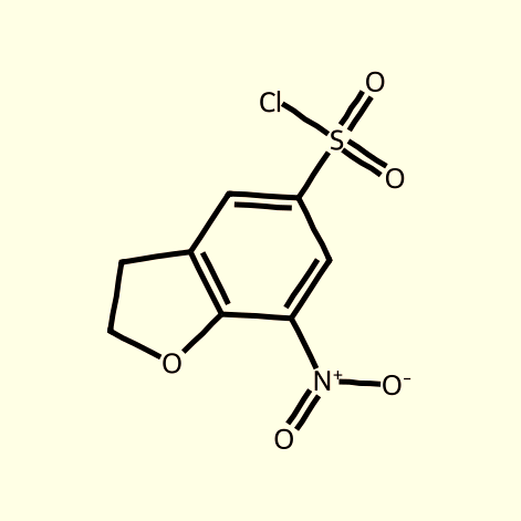 O=[N+]([O-])c1cc(S(=O)(=O)Cl)cc2c1OCC2